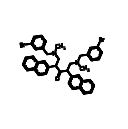 CN(Cc1cccc(Br)c1)CC(C(=O)C(CN(C)Cc1cccc(Br)c1)c1ccc2ccccc2c1)c1ccc2ccccc2c1